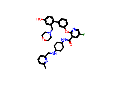 Cc1cccc(CNC2CCC(NC(=O)c3cc(F)cnc3Oc3cccc(-c4ccc(O)cc4CN4CCOCC4)c3)CC2)n1